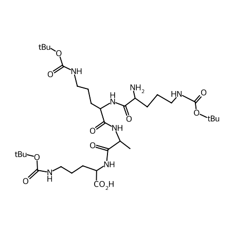 CC(NC(=O)C(CCCNC(=O)OC(C)(C)C)NC(=O)C(N)CCCNC(=O)OC(C)(C)C)C(=O)NC(CCCNC(=O)OC(C)(C)C)C(=O)O